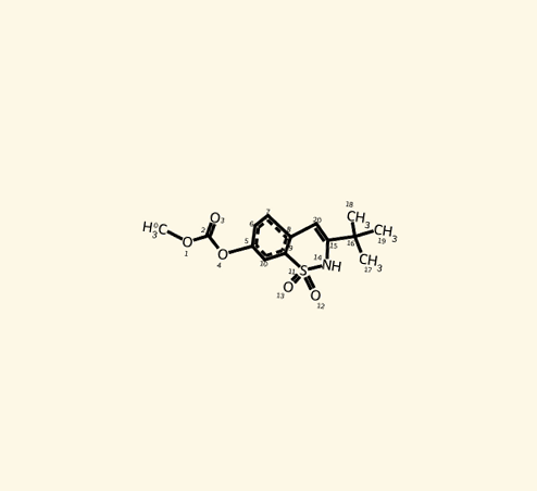 COC(=O)Oc1ccc2c(c1)S(=O)(=O)NC(C(C)(C)C)=C2